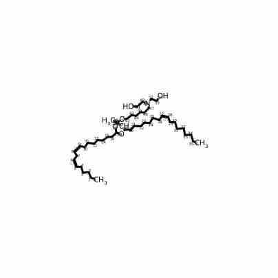 CCCCC/C=C\C/C=C\CCCCCCCC(OCCCCCCCC/C=C\CCCCCCCC)O[Si](C)(C)OCCCCCCN(CCO)CCO